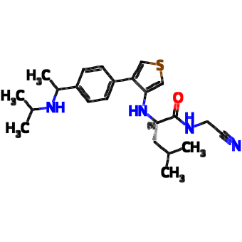 CC(C)C[C@H](Nc1cscc1-c1ccc(C(C)NC(C)C)cc1)C(=O)NCC#N